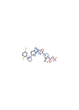 CC(C)[C@H]1CN(C(=O)Nc2cnc3ccc(N4CCC[C@@H]4c4cc(F)ccc4F)nn23)CCN1C(=O)OC(C)(C)C